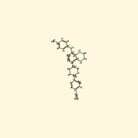 N#Cc1ccc(N2CCN(c3nnc(Cc4ccc(F)cc4)c4c3CCCC4)CC2)nc1